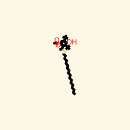 CCCCCCCCCCCCCCCCCCSC(C)c1c(OC(C)=O)cc(C(C)(C)C)c(O)c1C(C)(C)C